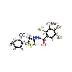 COc1c(Br)c(Br)cc(C(=O)Nc2csc(-c3ccc(C)cc3)c2C(=O)O)c1Br